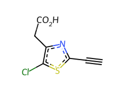 C#Cc1nc(CC(=O)O)c(Cl)s1